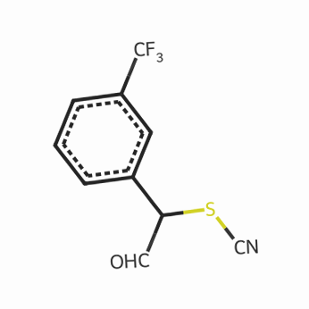 N#CSC(C=O)c1cccc(C(F)(F)F)c1